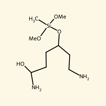 CO[Si](C)(OC)OC(CCN)CCC(N)O